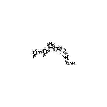 COCCN1CCN(C(=O)Cn2ncc3c2CCc2c-3sc3ncnc(Nc4ccc(OCc5cccc(F)c5)c(Cl)c4)c23)CC1